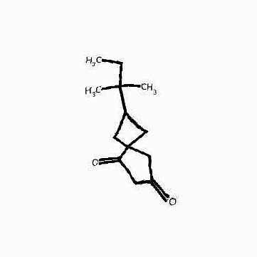 CCC(C)(C)C1CC2(CC(=O)CC2=O)C1